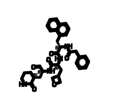 O=C[C@H](C[C@@H]1CCCNC1=O)NC(=O)[C@H](CC1COC1)NC(=O)[C@H](Cc1cccc2ccccc12)NC(=O)Cc1ccccc1